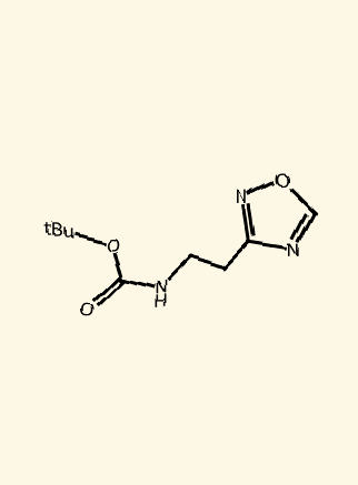 CC(C)(C)OC(=O)NCCc1ncon1